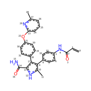 C=CC(=O)Nc1ccc(-c2c(C)[nH]c(C(N)=O)c2-c2ccc(Oc3cccc(C)n3)cc2)cc1